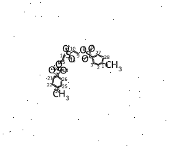 Cc1ccc(S(=O)(=O)OC=CS(=O)(=O)C=COS(=O)(=O)c2ccc(C)cc2)cc1